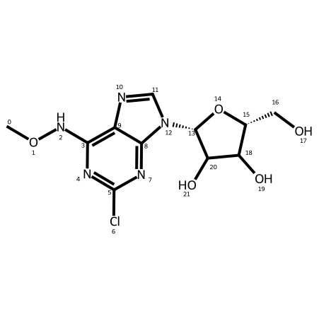 CONc1nc(Cl)nc2c1ncn2[C@@H]1O[C@H](CO)C(O)C1O